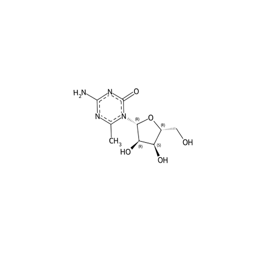 Cc1nc(N)nc(=O)n1[C@@H]1O[C@H](CO)[C@@H](O)[C@H]1O